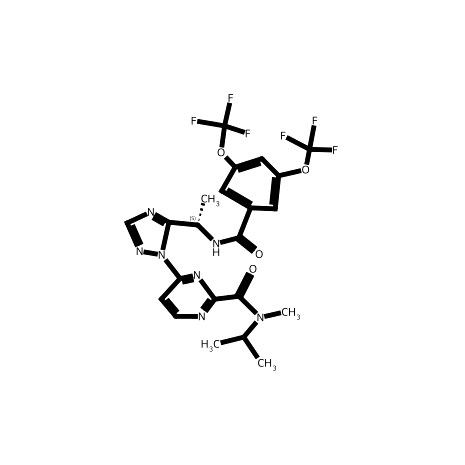 CC(C)N(C)C(=O)c1nccc(-n2ncnc2[C@H](C)NC(=O)c2cc(OC(F)(F)F)cc(OC(F)(F)F)c2)n1